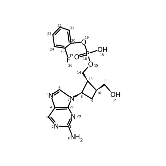 Nc1ncc2ncn([C@@H]3C[C@H](CO)[C@@H]3COP(=O)(O)Oc3ccccc3F)c2n1